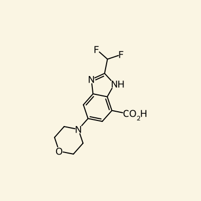 O=C(O)c1cc(N2CCOCC2)cc2nc(C(F)F)[nH]c12